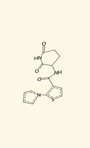 O=C1CCC(NC(=O)c2ccsc2-n2cccc2)C(=O)N1